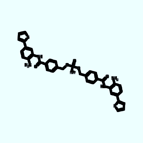 CCCP(=O)(OCc1ccc(C(=O)Nc2cc(-c3cccs3)ccc2N)cc1)OCc1ccc(C(=O)Nc2cc(-c3cccs3)ccc2N)cc1